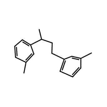 Cc1cccc(CCC(C)c2cccc(C)c2)c1